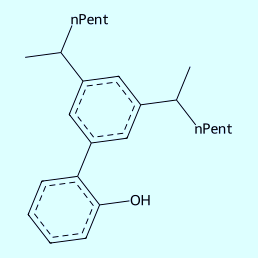 CCCCCC(C)c1cc(-c2ccccc2O)cc(C(C)CCCCC)c1